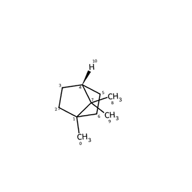 CC12[CH]C[C@H](CC1)C2(C)C